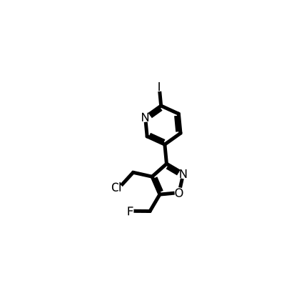 FCc1onc(-c2ccc(I)nc2)c1CCl